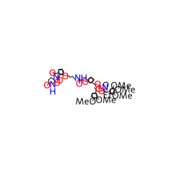 CC[C@H](C(=O)N1CCCC[C@H]1C(=O)O[C@H](CCc1ccc(OC)c(OC)c1)c1cccc(OCC(=O)NCCCCOc2cccc3c2C(=O)N(C2CCC(=O)NC2=O)C3=O)c1)c1cc(OC)c(OC)c(OC)c1